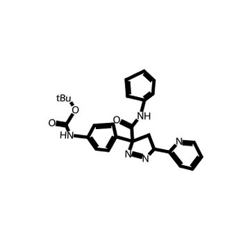 CC(C)(C)OC(=O)Nc1ccc(C2(C(=O)Nc3ccccc3)CC(c3ccccn3)N=N2)cc1